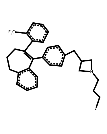 FCCCN1CC(Cc2ccc(C3=C(c4ccccc4C(F)(F)F)CCCc4ccccc43)cc2)C1